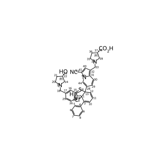 CC1(Cl)C(c2ccccc2)=CC=CC1(Sc1cc(CN2CC[C@@H](O)C2)ccn1)c1ccc2c(CN3CC[C@@H](C(=O)O)C3)cc(C#N)n2c1